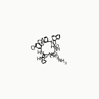 CN1C(=O)[C@H](CCCCN)NC(=O)[C@H](Cc2cccc3ccccc23)NCc2cccnc2Sc2c(Cl)cc(Cl)cc2CNC(=O)[C@@H]1Cc1c[nH]c2ccccc12